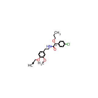 C#CCOc1ccc(CCNC(=O)[C@@H](OCCC)c2ccc(Cl)cc2)cc1OC